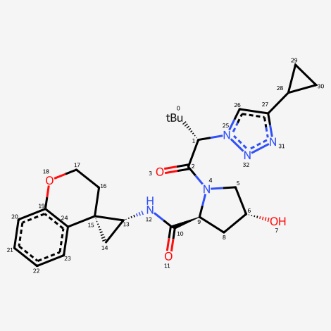 CC(C)(C)[C@@H](C(=O)N1C[C@H](O)C[C@H]1C(=O)N[C@@H]1C[C@]12CCOc1ccccc12)n1cc(C2CC2)nn1